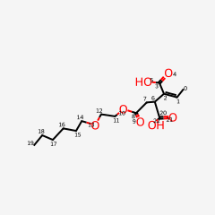 CC=C(C(=O)O)C(CC(=O)OCCOCCCCCC)C(=O)O